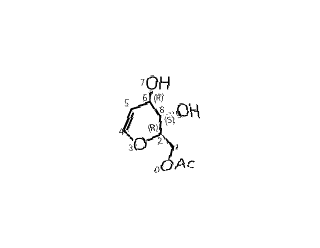 CC(=O)OC[C@H]1OC=C[C@@H](O)[C@@H]1O